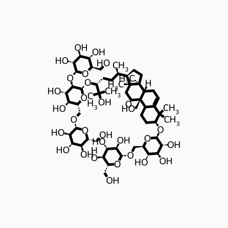 C[C@H](CC[C@@H](O[C@@H]1O[C@H](CO[C@@H]2O[C@H](CO)[C@@H](O)[C@H](O)[C@H]2O)[C@@H](O)[C@H](O)[C@H]1O[C@@H]1O[C@H](CO)[C@@H](O)[C@H](O)[C@H]1O)C(C)(C)O)[C@H]1CC[C@@]2(C)[C@@H]3CC=C4C(CC[C@H](O[C@@H]5O[C@H](CO[C@@H]6O[C@H](CO)[C@@H](O)[C@H](O)[C@H]6O)[C@@H](O)[C@H](O)[C@H]5O)C4(C)C)[C@]3(CO)C(=O)C[C@]12C